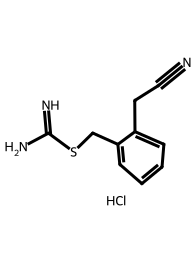 Cl.N#CCc1ccccc1CSC(=N)N